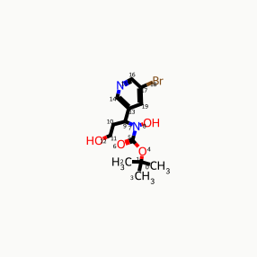 CC(C)(C)OC(=O)N(O)C(CCO)c1cncc(Br)c1